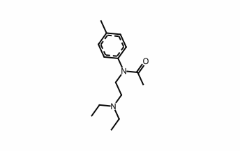 CCN(CC)CCN(C(C)=O)c1ccc(C)cc1